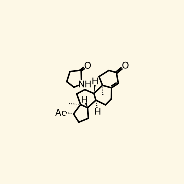 CC(=O)[C@H]1CC[C@H]2[C@@H]3CCC4=CC(=O)CC[C@]4(C)[C@H]3CC[C@]12C.O=C1CCCN1